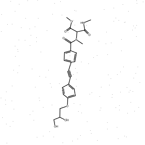 CNC(=O)C(C(=O)OC)N(C)C(=O)c1ccc(C#Cc2ccc(OCC(O)CO)cc2)cc1